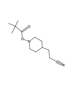 CC(C)(C)C(=O)ON1CCC(CCC#N)CC1